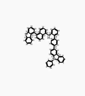 c1ccc(-n2c3ccccc3c3cc(-c4ccc(-c5ccccc5Nc5cccc6c(-c7cccc8sc9ccccc9c78)cccc56)cc4)ccc32)cc1